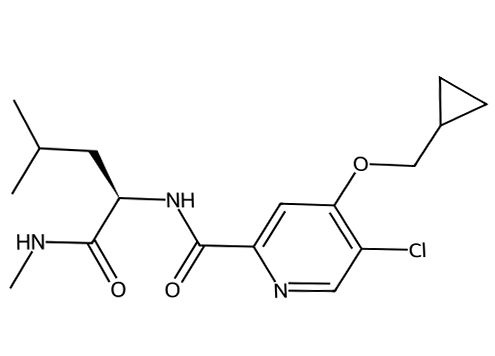 CNC(=O)[C@@H](CC(C)C)NC(=O)c1cc(OCC2CC2)c(Cl)cn1